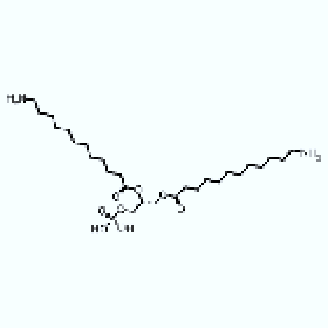 NCCCCCCCCCCCC(=O)OC[C@H](COP(=O)(O)O)OC(=O)CCCCCCCCCCCN